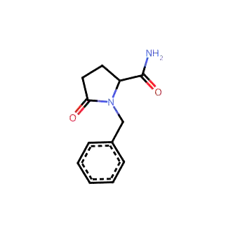 NC(=O)C1CCC(=O)N1Cc1ccccc1